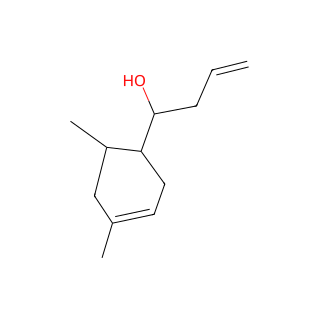 C=CCC(O)C1CC=C(C)CC1C